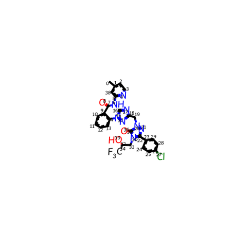 Cc1ccnc(NC(=O)c2ccccc2-n2cnc(Cn3nc(-c4ccc(Cl)cc4)n(CC(O)C(F)(F)F)c3=O)n2)c1